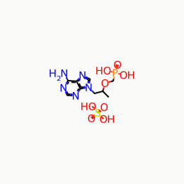 CC(Cn1cnc2c(N)ncnc21)OCP(=O)(O)O.O=S(=O)(O)O